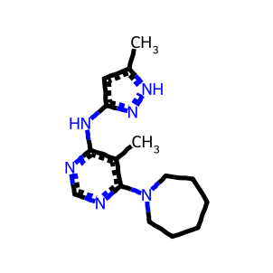 Cc1cc(Nc2ncnc(N3CCCCCC3)c2C)n[nH]1